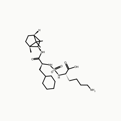 CC1(C)[C@@H]2CC[C@@]1(C)[C@H](NC(=O)[C@H](CC1CCCCC1)NS(=O)(=O)N[C@@H](CCCCN)C(=O)O)C2